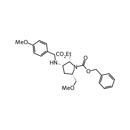 CCOC(=O)[C@H]1[C@@H](NCc2ccc(OC)cc2)C[C@@H](COC)N1C(=O)OCc1ccccc1